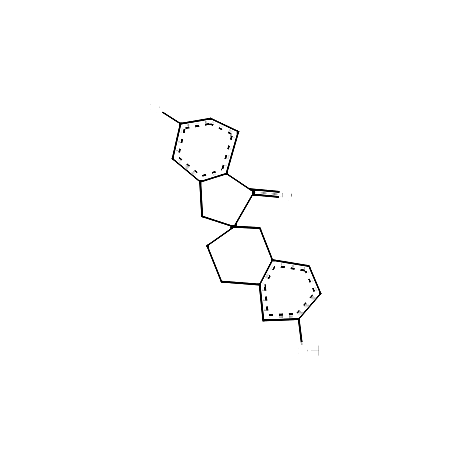 O=C1c2ccc(O)cc2CC12CCc1cc(O)ccc1C2